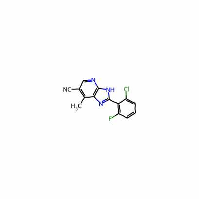 Cc1c(C#N)cnc2[nH]c(-c3c(F)cccc3Cl)nc12